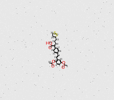 CC(=O)Oc1ccc(OC(C)=O)c(C=Cc2ccc(C(CCCC3CCSS3)C(=O)O)cc2)c1